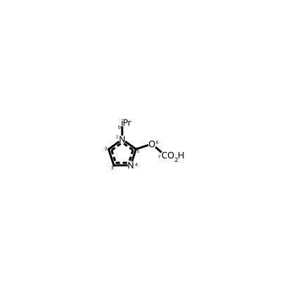 CC(C)n1ccnc1OC(=O)O